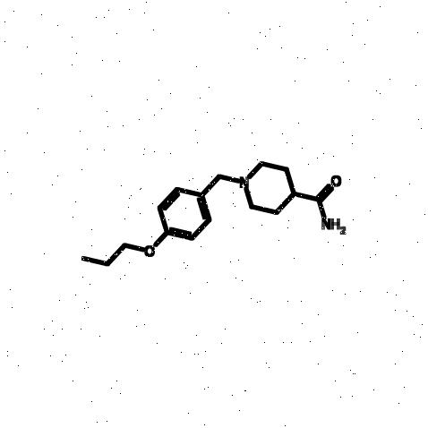 CCCOc1ccc(CN2CCC(C(N)=O)CC2)cc1